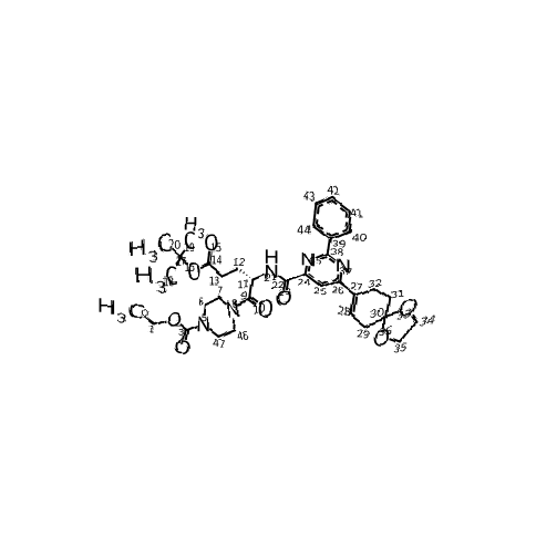 CCOC(=O)N1CCN(C(=O)[C@H](CCC(=O)OC(C)(C)C)NC(=O)c2cc(C3=CCC4(CC3)OCCO4)nc(-c3ccccc3)n2)CC1